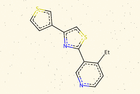 CCc1ccncc1-c1nc(-c2ccsc2)cs1